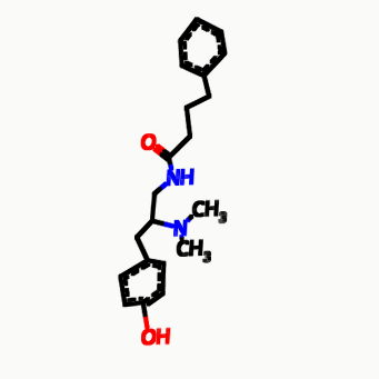 CN(C)C(CNC(=O)CCCc1ccccc1)Cc1ccc(O)cc1